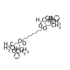 CC1(C)CC(OC(=O)CCCCCCCCC(=O)OC2CC(C)(C)N(Oc3ccccc3)C(C)(C)C2)CC(C)(C)N1Oc1ccccc1